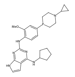 COc1cc(P2CCN(C3CC3)CC2)ccc1Nc1nc(NC2CCCC2)c2cc[nH]c2n1